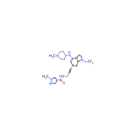 CN1CCC(Nc2cc(C#CCNC(=O)c3cnn(C)c3)cc3c2ccn3CC(F)(F)F)CC1